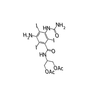 CC(=O)OCC(COC(C)=O)NC(=O)c1c(I)c(N)c(I)c(NC(N)=O)c1I